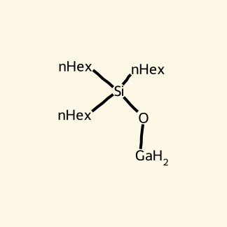 CCCCCC[Si](CCCCCC)(CCCCCC)[O][GaH2]